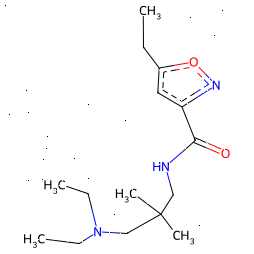 CCc1cc(C(=O)NCC(C)(C)CN(CC)CC)no1